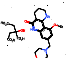 CCOc1cc(CN2CCOCC2)cc2[nH]c(=O)c3c(c12)NCCC3.O=C(O)CC(O)(CC(=O)O)C(=O)O